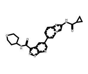 O=C(NC1CCOCC1)c1nsc2ncc(-c3ccc4nc(NC(=O)C5CC5)cn4c3)cc12